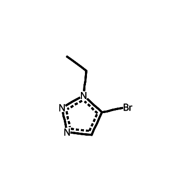 CCn1nncc1Br